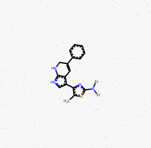 CCN(CC)c1nc(-c2c[nH]c3c2C=C(c2ccccc2)CN3)c(C)s1